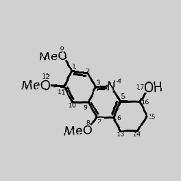 COc1cc2nc3c(c(OC)c2cc1OC)CCCC3O